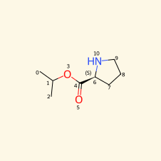 CC(C)OC(=O)[C@@H]1CCCN1